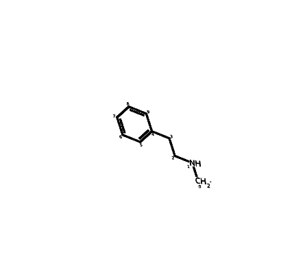 [CH2]NCCc1ccccc1